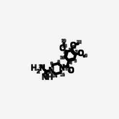 COc1cc(C(=O)N2CCN(C(=N)N)CC2)cc(OC)c1OC